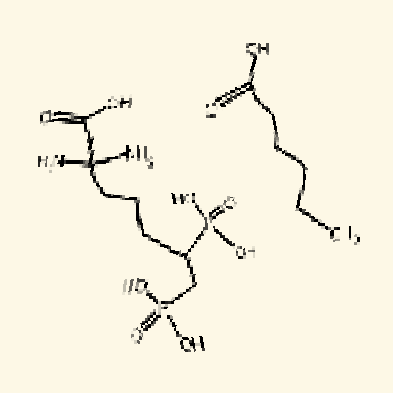 CCCCCC(=O)O.NC(N)(CCCC(CP(=O)(O)O)P(=O)(O)O)C(=O)O